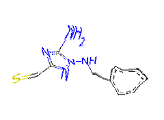 Nc1nc(C=S)nn1NCc1ccccc1